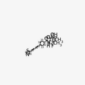 COC(C)(C(F)F)C(NC(=O)c1ccc(C#CC#Cc2cncs2)cc1)C(=O)NO